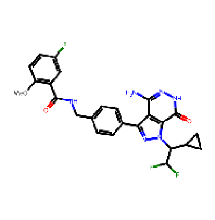 COc1ccc(F)cc1C(=O)NCc1ccc(-c2nn(C(C(F)F)C3CC3)c3c(=O)[nH]nc(N)c23)cc1